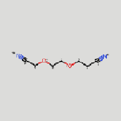 N#CCCOCCOCC#N